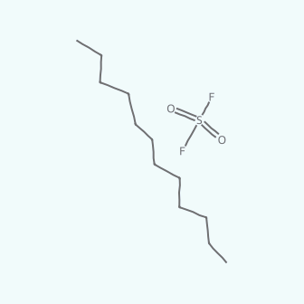 CCCCCCCCCCCC.O=S(=O)(F)F